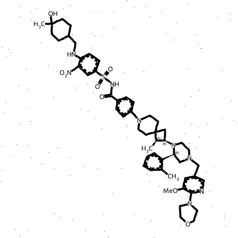 COc1cc(CN2CCN([C@@H]3CC4(CCN(c5ccc(C(=O)NS(=O)(=O)c6ccc(NCC7CCC(C)(O)CC7)c([N+](=O)[O-])c6)cc5)CC4)[C@@H]3C)[C@H](c3ccccc3C)C2)cnc1N1CCOCC1